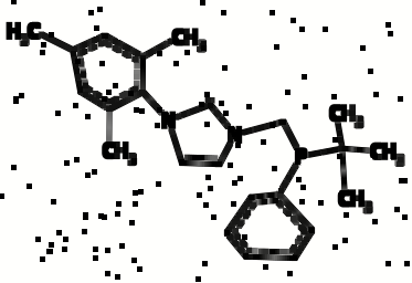 Cc1cc(C)c(N2[C]N(CP(c3ccccc3)C(C)(C)C)C=C2)c(C)c1